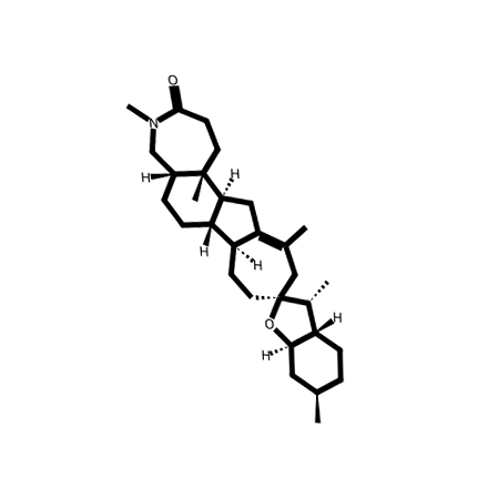 CC1=C2C[C@H]3[C@@H](CC[C@@H]4CN(C)C(=O)CC[C@@]43C)[C@@H]2CC[C@@]2(C1)O[C@@H]1C[C@H](C)CC[C@H]1[C@H]2C